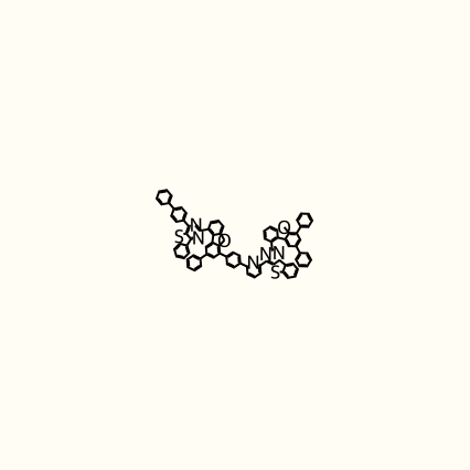 c1ccc(-c2ccc(-c3nc(-c4cccc5oc6c(-c7ccc(-c8cccc(-c9nc(-c%10cccc%11oc%12c(-c%13ccccc%13)cc(-c%13ccccc%13)cc%12c%10%11)nc%10c9sc9ccccc9%10)n8)cc7)cc(-c7ccccc7)cc6c45)nc4c3sc3ccccc34)cc2)cc1